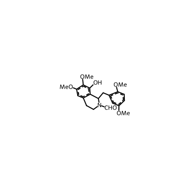 COc1ccc(OC)c(CC2c3c(cc(OC)c(OC)c3O)CCN2C=O)c1